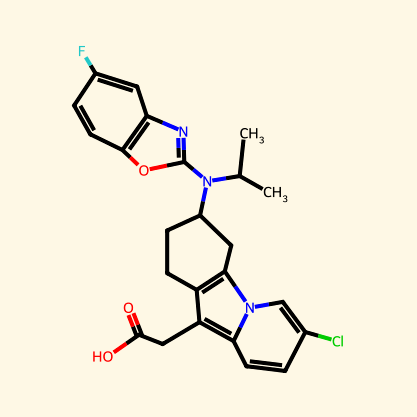 CC(C)N(c1nc2cc(F)ccc2o1)C1CCc2c(CC(=O)O)c3ccc(Cl)cn3c2C1